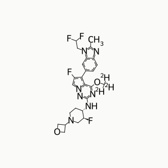 [2H]C([2H])([2H])Oc1nc(N[C@H]2CCN(C3COC3)C[C@@H]2F)nn2cc(F)c(-c3ccc4nc(C)n(CC(F)F)c4c3)c12